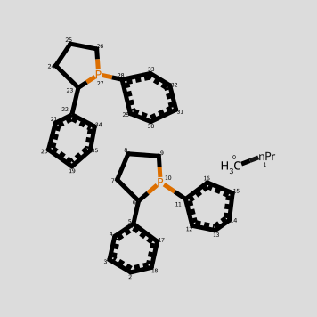 CCCC.c1ccc(C2CCCP2c2ccccc2)cc1.c1ccc(C2CCCP2c2ccccc2)cc1